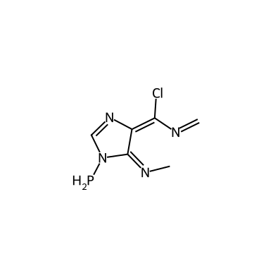 C=N/C(Cl)=C1/N=CN(P)/C1=N/C